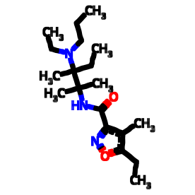 CCCN(CC)C(C)(CC)C(C)(C)NC(=O)c1noc(CC)c1C